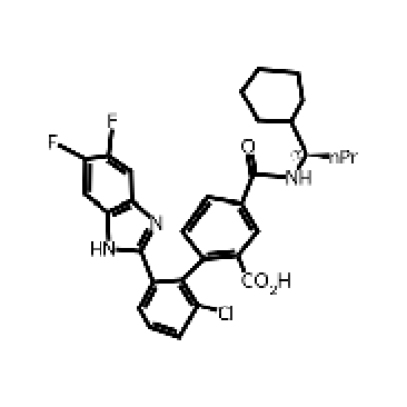 CCC[C@@H](NC(=O)c1ccc(-c2c(Cl)cccc2-c2nc3cc(F)c(F)cc3[nH]2)c(C(=O)O)c1)C1CCCCC1